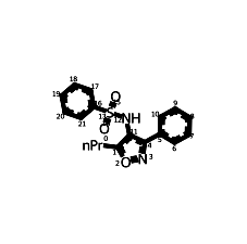 CCCc1onc(-c2ccccc2)c1NS(=O)(=O)c1ccccc1